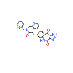 O=C(CCc1ccc2c(=O)c3[nH]nnc3c(=O)[nH]c2c1)N(Cc1ccccn1)Cc1ccccn1